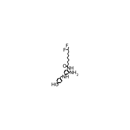 Nc1cc(NCc2ccc(O)cc2)ccc1NC(=O)CCCCCCCC(F)CF